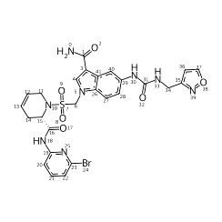 NC(=O)c1cn(CS(=O)(=O)N2CC=CC[C@H]2C(=O)Nc2cccc(Br)n2)c2ccc(NC(=O)NCc3ccon3)cc12